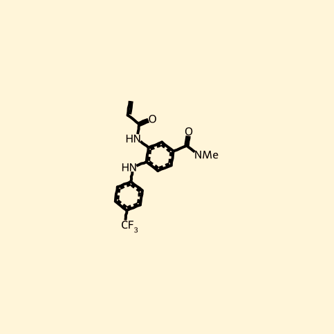 C=CC(=O)Nc1cc(C(=O)NC)ccc1Nc1ccc(C(F)(F)F)cc1